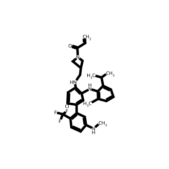 C=CC(=O)N1CC(CNc2cc(Cl)c(-c3cc(NC)ccc3C(F)(F)F)cc2Nc2c(C)cccc2C(C)C)C1